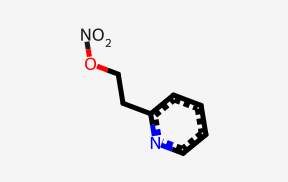 O=[N+]([O-])OCCc1ccccn1